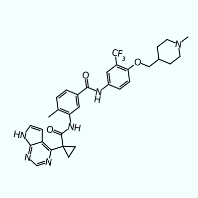 Cc1ccc(C(=O)Nc2ccc(OCC3CCN(C)CC3)c(C(F)(F)F)c2)cc1NC(=O)C1(c2ncnc3[nH]ccc23)CC1